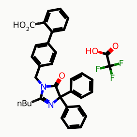 CCCCC1=NC(c2ccccc2)(c2ccccc2)C(=O)N1Cc1ccc(-c2ccccc2C(=O)O)cc1.O=C(O)C(F)(F)F